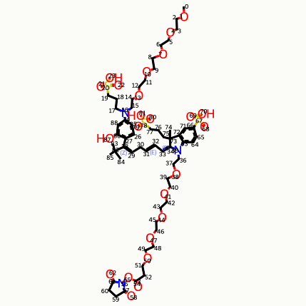 COCCOCCOCCOCCOCCN(CCCS(=O)(=O)O)c1ccc(/C(=C\C/C=C/C=C2/N(CCOCCOCCOCCOCCOCCC(=O)ON3C(=O)CCC3=O)c3ccc(S(=O)(=O)O)cc3C2(C)CCCS(=O)(=O)O)C(C)(C)C)c(O)c1